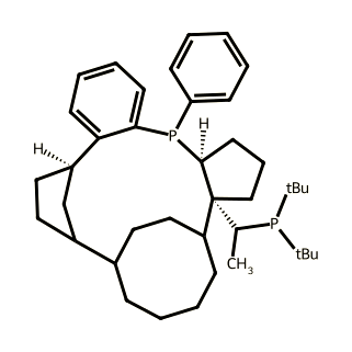 CC(P(C(C)(C)C)C(C)(C)C)[C@@]12CCC[C@@H]1P(c1ccccc1)c1ccccc1[C@@H]1CCC(C1)C1CCCCC2CC1